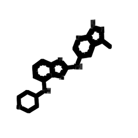 Cc1n[nH]c2ncc(Nc3nc4cccc(NC5CCOCC5)n4n3)cc12